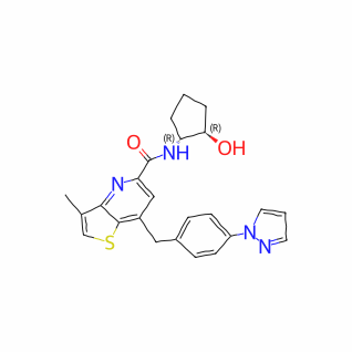 Cc1csc2c(Cc3ccc(-n4cccn4)cc3)cc(C(=O)N[C@@H]3CCC[C@H]3O)nc12